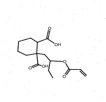 C=CC(=O)OC(CC)CC1(C(=O)O)CCCCC1C(=O)O